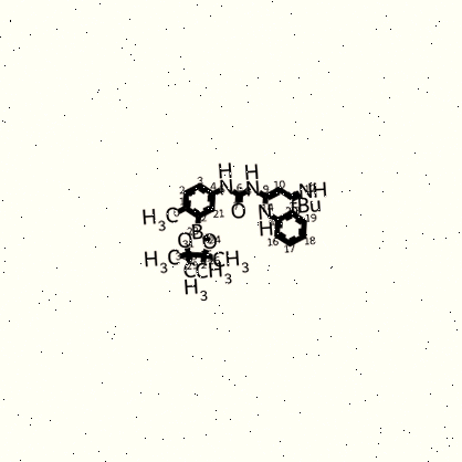 Cc1ccc(NC(=O)N/C(=C/C(=N)C(C)(C)C)Nc2ccccc2)cc1B1OC(C)(C)C(C)(C)O1